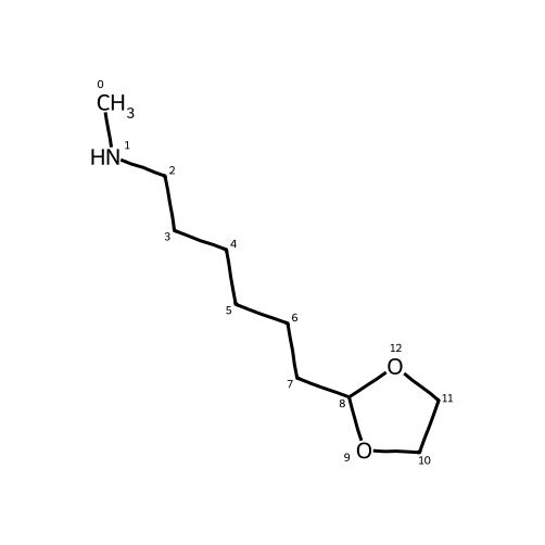 CNCCCCCCC1OCCO1